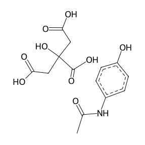 CC(=O)Nc1ccc(O)cc1.O=C(O)CC(O)(CC(=O)O)C(=O)O